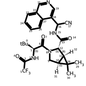 CC(C)(C)[C@H](NC(=O)C(F)(F)F)C(=O)N1C[C@H]2[C@@H]([C@H]1C(=O)NC(C#N)c1cncc3ccccc13)C2(C)C